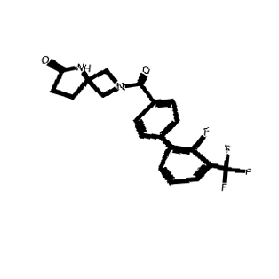 O=C1CCC2(CN(C(=O)c3ccc(-c4cccc(C(F)(F)F)c4F)cc3)C2)N1